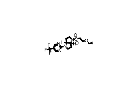 O=S(=O)(CCOCI)N1CC[C@@H]2[C@H]1CCN2c1ncc(C(F)(F)F)cn1